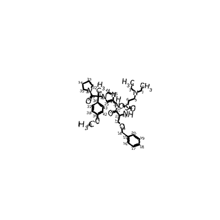 CCN(CC)CCS(=O)(=O)NC(COCc1ccccc1)C(=O)Nc1cn(C(C)(C(=O)N2CCCC2)c2ccc(OC)cc2)cn1